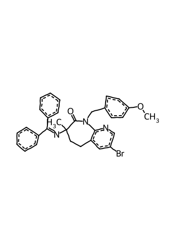 COc1ccc(CN2C(=O)C(C)(N=C(c3ccccc3)c3ccccc3)CCc3cc(Br)cnc32)cc1